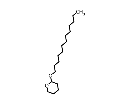 CCCCCCCCCCCCCOC1CCCCO1